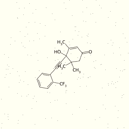 CC1=CC(=O)CC(C)(C)C1(O)C#Cc1ccccc1C(F)(F)F